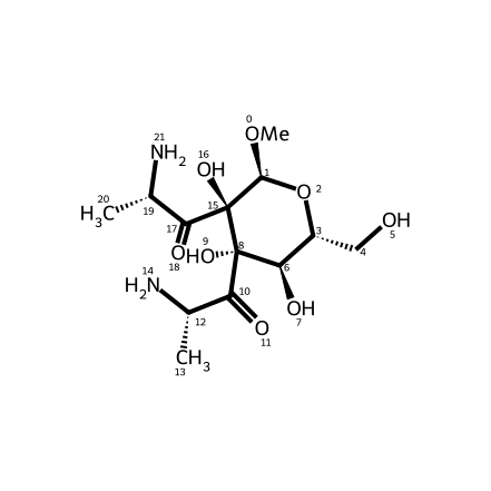 CO[C@H]1O[C@H](CO)[C@@H](O)[C@@](O)(C(=O)[C@H](C)N)[C@]1(O)C(=O)[C@H](C)N